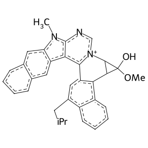 COC1(O)C2c3c(cc(CC(C)C)c4ccccc34)-c3c4c5cc6ccccc6cc5n(C)c4nc[n+]3C21